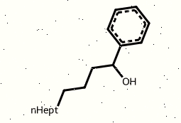 CCCCCCCCCCC(O)c1[c]cccc1